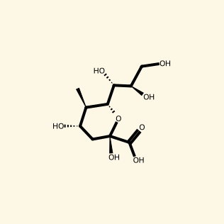 C[C@H]1[C@H]([C@H](O)[C@H](O)CO)O[C@](O)(C(=O)O)C[C@@H]1O